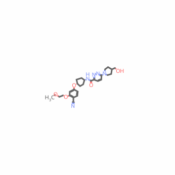 COCCOc1cc(O[C@H]2CC[C@H](NC(=O)c3ccc(N4CCC(CO)CC4)nn3)CC2)ccc1C#N